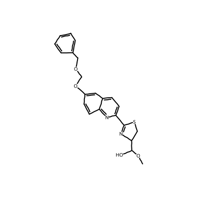 COC(O)C1CSC(c2ccc3cc(OCOCc4ccccc4)ccc3n2)=N1